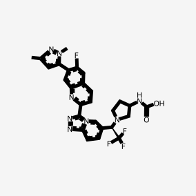 Cc1cc(-c2cc3nc(-c4nnc5ccc([C@@H](N6CCC(NC(=O)O)C6)C(F)(F)F)cn45)ccc3cc2F)n(C)n1